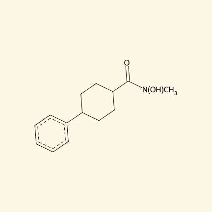 CN(O)C(=O)C1CCC(c2ccccc2)CC1